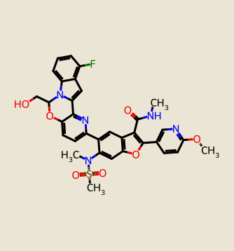 CNC(=O)c1c(-c2ccc(OC)nc2)oc2cc(N(C)S(C)(=O)=O)c(-c3ccc4c(n3)-c3cc5c(F)cccc5n3C(CO)O4)cc12